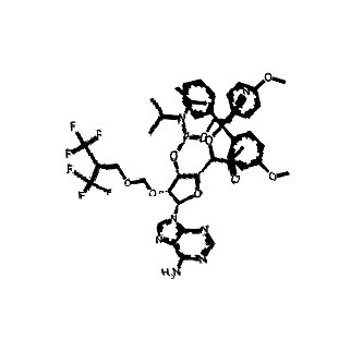 COc1ccc(C(OC(C(C)=O)[C@H]2O[C@@H](n3cnc4c(N)ncnc43)[C@H](OCOCC(C(F)(F)F)C(F)(F)F)[C@H]2OP(OCCC#N)N(C(C)C)C(C)C)(c2ccccc2)c2ccc(OC)cc2)cc1